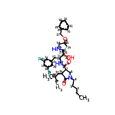 CCCCCN1CC(C(=O)N[C@@H](Cc2cc(F)cc(F)c2)[C@H](O)[C@H]2C[C@@H](OCc3ccccc3)CN2)C(CC(C)C)C1=O